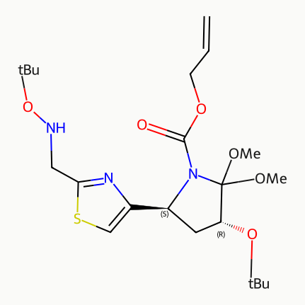 C=CCOC(=O)N1[C@H](c2csc(CNOC(C)(C)C)n2)C[C@@H](OC(C)(C)C)C1(OC)OC